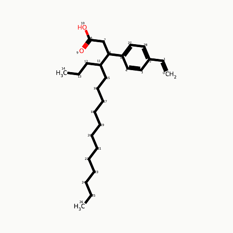 C=Cc1ccc(C(CC(=O)O)C(CCC)CCCCCCCCCCCC)cc1